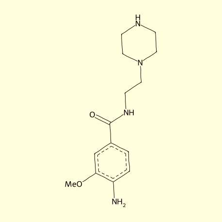 COc1cc(C(=O)NCCN2CCNCC2)ccc1N